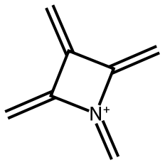 C=C1C(=C)[N+](=C)C1=C